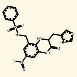 O=C1Nc2cc([N+](=O)[O-])cc(CNS(=O)(=O)c3ccccc3)c2NC1Cc1cnc[nH]1